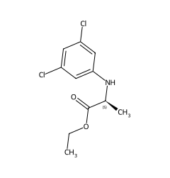 CCOC(=O)[C@H](C)Nc1cc(Cl)cc(Cl)c1